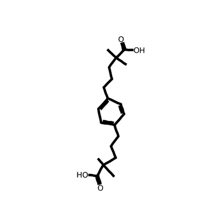 CC(C)(CCCc1ccc(CCCC(C)(C)C(=O)O)cc1)C(=O)O